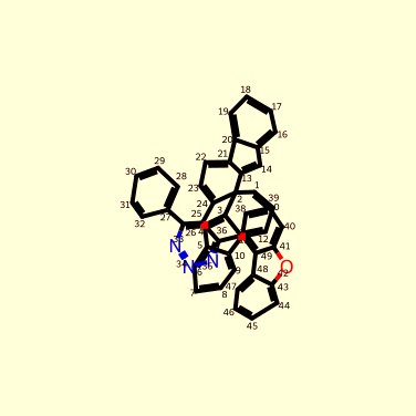 C1=CC2(C3=Cc4ccccc4C3=C1)C1=Cc3ccccc3C1=CC=C2c1c(-c2ccccc2)nnnc1-c1cccc2oc3ccccc3c12